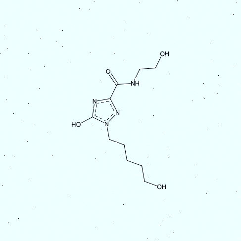 O=C(NCCO)c1nc(O)n(CCCCCO)n1